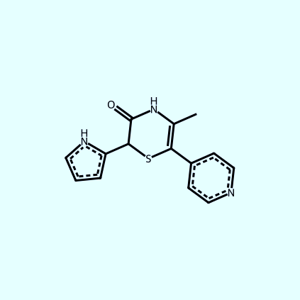 CC1=C(c2ccncc2)SC(c2ccc[nH]2)C(=O)N1